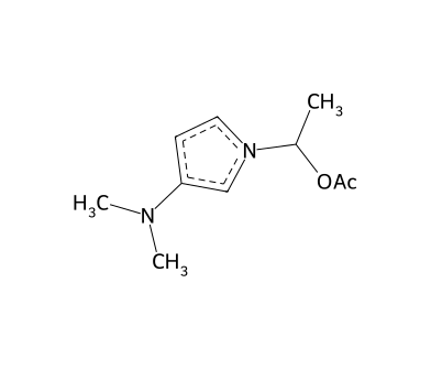 CC(=O)OC(C)n1ccc(N(C)C)c1